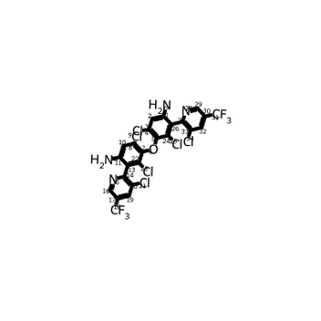 Nc1cc(Cl)c(Oc2c(Cl)cc(N)c(-c3ncc(C(F)(F)F)cc3Cl)c2Cl)c(Cl)c1-c1ncc(C(F)(F)F)cc1Cl